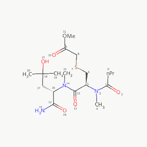 CCCC(=O)N(C)[C@H](CSCC(=O)OC)C(=O)N(C)[C@@H](CC(C)(C)O)C(N)=O